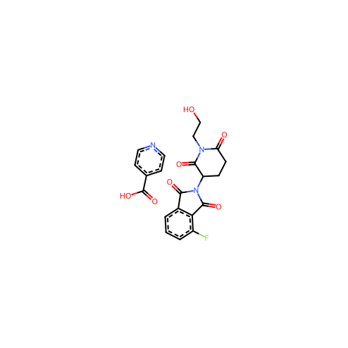 O=C(O)c1ccncc1.O=C1CCC(N2C(=O)c3cccc(F)c3C2=O)C(=O)N1CCO